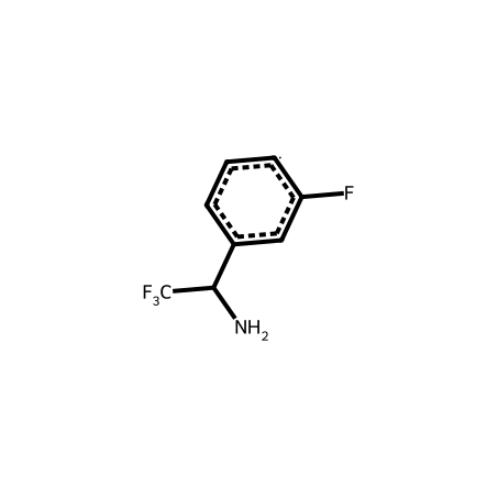 NC(c1cc[c]c(F)c1)C(F)(F)F